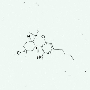 CCCCc1cc(O)c2c(c1)OC(C)(C)[C@@H]1CCC(C)(Cl)C[C@@H]21